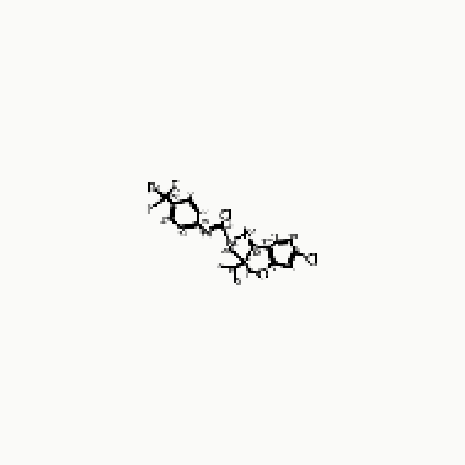 CC(C)C12COc3cc(Cl)ccc3C1=NN(/C(Cl)=N/c1ccc(C(F)(F)F)cc1)C2